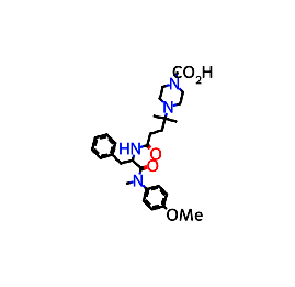 COc1ccc(N(C)C(=O)C(Cc2ccccc2)NC(=O)CCC(C)(C)N2CCN(C(=O)O)CC2)cc1